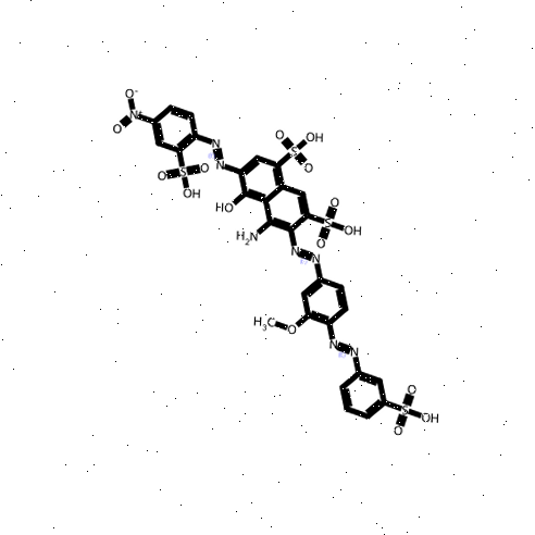 COc1cc(/N=N/c2c(S(=O)(=O)O)cc3c(S(=O)(=O)O)cc(/N=N/c4ccc([N+](=O)[O-])cc4S(=O)(=O)O)c(O)c3c2N)ccc1/N=N/c1cccc(S(=O)(=O)O)c1